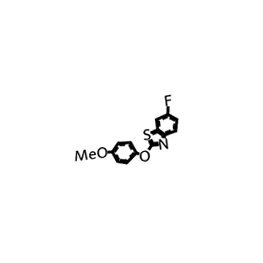 COc1ccc(Oc2nc3ccc(F)cc3s2)cc1